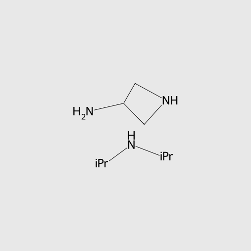 CC(C)NC(C)C.NC1CNC1